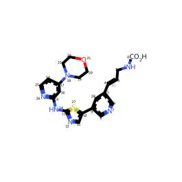 O=C(O)NC/C=C/c1cncc(-c2cnc(Nc3cc(N4CCOCC4)ccn3)s2)c1